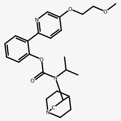 COCCOc1ccc(-c2ccccc2OC(=O)N(C(C)C)C2CN3CCC2CC3)nc1